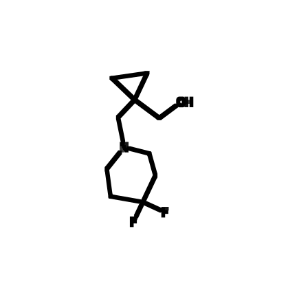 OCC1(CN2CCC(F)(F)CC2)CC1